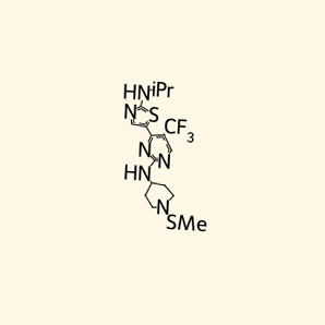 CSN1CCC(Nc2ncc(C(F)(F)F)c(-c3cnc(NC(C)C)s3)n2)CC1